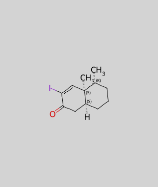 C[C@@H]1CCC[C@H]2CC(=O)C(I)=C[C@]21C